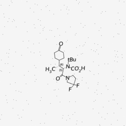 C[C@H](C1CCC(=O)CC1)[C@@H](C(=O)N1CCC(F)(F)C1)N(C(=O)O)C(C)(C)C